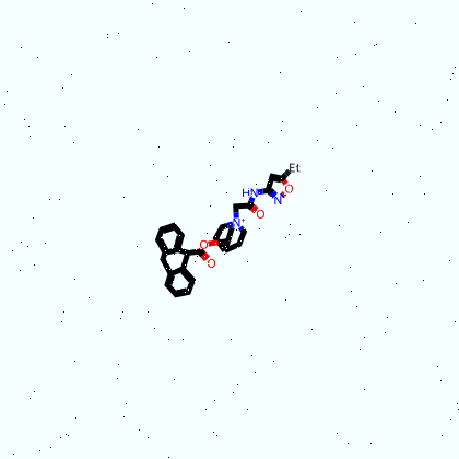 CCc1cc(NC(=O)C[N+]23CCC(CC2)C(OC(=O)C2c4ccccc4Cc4ccccc42)C3)no1